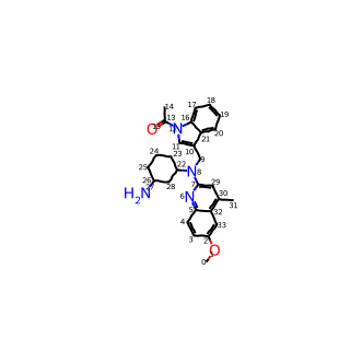 COc1ccc2nc(N(Cc3cn(C(C)=O)c4ccccc34)C3CCCC(N)C3)cc(C)c2c1